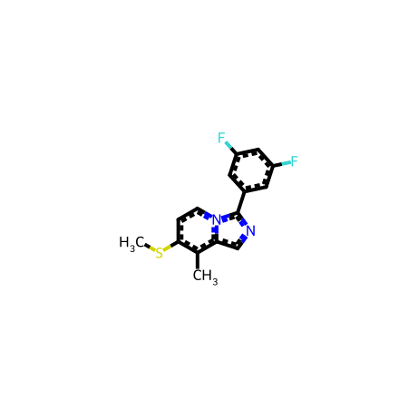 CSc1ccn2c(-c3cc(F)cc(F)c3)ncc2c1C